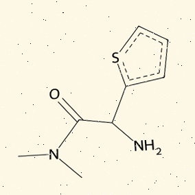 CN(C)C(=O)C(N)c1cccs1